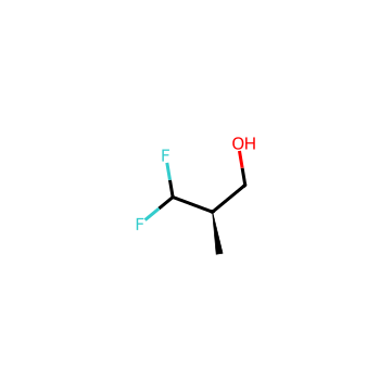 C[C@H](CO)C(F)F